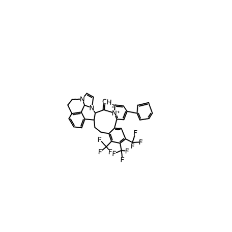 C=C1C2C(CCc3c(cc(C(F)(F)F)c(C(F)(F)F)c3C(F)(F)F)-c3cc(-c4ccccc4)cc[n+]31)c1cccc3c1C1N(C=CN21)CC3